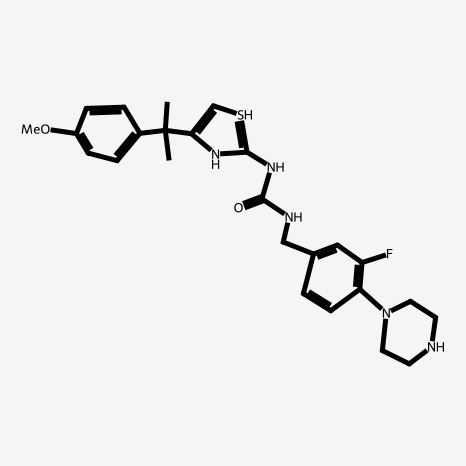 COc1ccc(C(C)(C)C2=C[SH]=C(NC(=O)NCc3ccc(N4CCNCC4)c(F)c3)N2)cc1